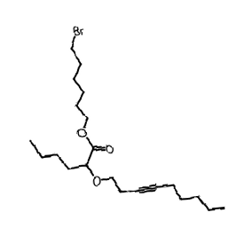 CCCCCC#CCCOC(CCCC)C(=O)OCCCCCCBr